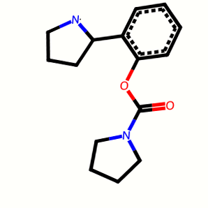 O=C(Oc1ccccc1C1CCC[N]1)N1CCCC1